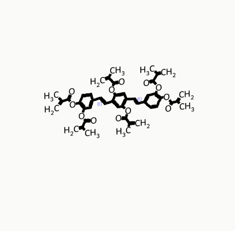 C=C(C)C(=O)Oc1cc(/C=C/c2ccc(OC(=O)C(=C)C)c(OC(=O)C(=C)C)c2)c(OC(=O)C(=C)C)cc1/C=C/c1ccc(OC(=O)C(=C)C)c(OC(=O)C(=C)C)c1